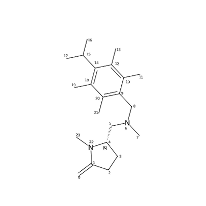 C=C1CC[C@@H](CN(C)Cc2c(C)c(C)c(C(C)C)c(C)c2C)N1C